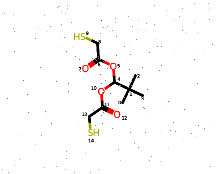 CC(C)(C)C(OC(=O)CS)OC(=O)CS